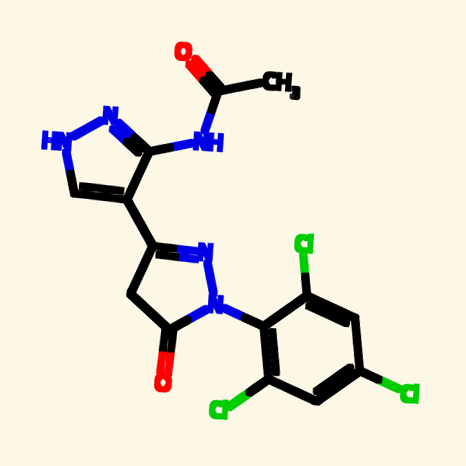 CC(=O)Nc1n[nH]cc1C1=NN(c2c(Cl)cc(Cl)cc2Cl)C(=O)C1